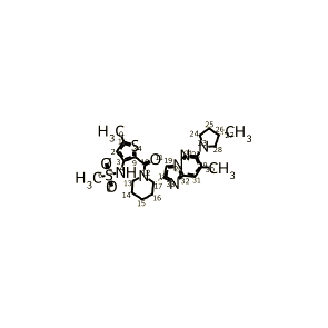 Cc1cc(NS(C)(=O)=O)c(C(=O)N2CCCC[C@H]2c2cn3nc(N4CC[C@H](C)C4)c(C)cc3n2)s1